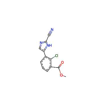 COC(=O)c1cccc(-c2cnc(C#N)[nH]2)c1Cl